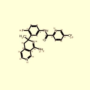 CC1(c2cc(NC(=O)c3ccc(C(F)(F)F)cn3)ccc2F)Cc2ccncc2C(N)=N1